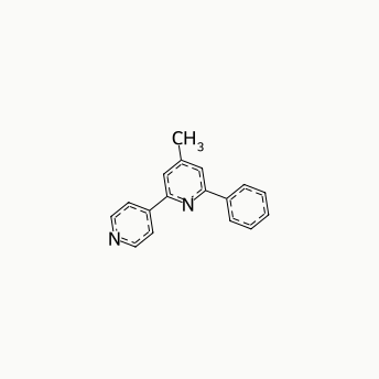 Cc1cc(-c2ccccc2)nc(-c2ccncc2)c1